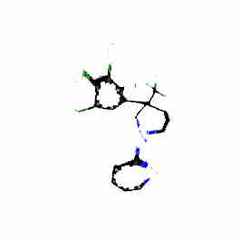 FC(F)(F)C1(c2cc(Cl)c(Cl)c(Cl)c2)CCN(c2ccccn2)C1